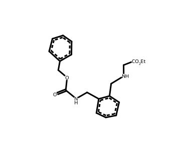 CCOC(=O)CNCc1ccccc1CNC(=O)OCc1ccccc1